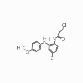 COc1ccc(Nc2cc(Cl)ccc2NC(=O)CCCl)cc1